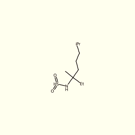 CCC(C)(CCCC(C)C)N[SH](=O)=O